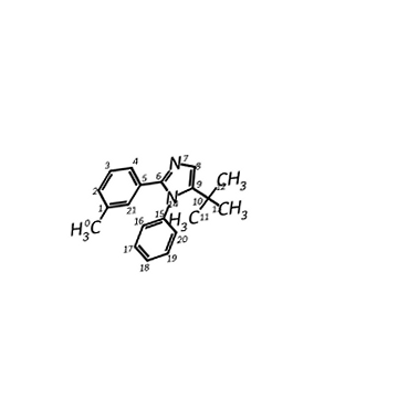 Cc1cccc(-c2ncc(C(C)(C)C)n2-c2ccccc2)c1